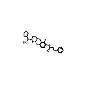 Cc1c(NC(=O)CCc2ccccc2)ccc(F)c1CN1CCN(C(O)C2CCCC2)[C@@H](C)C1